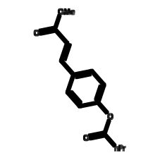 CCCC(=O)Oc1ccc(C=CC(=O)OC)cc1